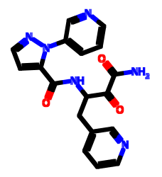 NC(=O)C(=O)C(Cc1cccnc1)NC(=O)c1ccnn1-c1cccnc1